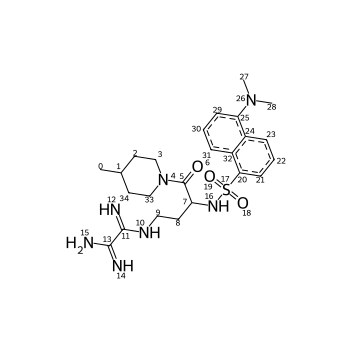 CC1CCN(C(=O)C(CCNC(=N)C(=N)N)NS(=O)(=O)c2cccc3c(N(C)C)cccc23)CC1